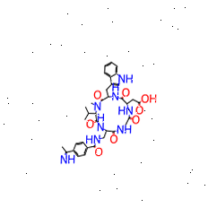 CC(=N)c1ccc(C(=O)NCC2NC(=O)C(C(C)C)N(C)C(=O)C(Cc3c[nH]c4ccccc34)NC(=O)C(CC(=O)O)NC(=O)CNC2=O)cc1